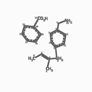 CC=C(C)[SiH2]c1ccc(CN)cc1.O=C(O)c1ccccc1